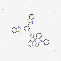 c1ccc(N2c3ccccc3C3(c4ccccc4-c4cc(-c5cc(-c6nc7ccccc7s6)cc(-c6nc7ccccc7s6)c5)ccc43)c3ccccc32)cc1